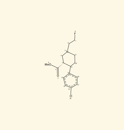 COC(=O)[C@@H]1CN(CCF)CCC1c1ccc(Cl)cc1